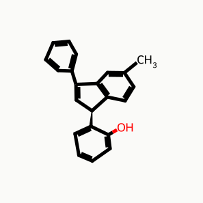 Cc1ccc2c(c1)C(c1ccccc1)=C[C@@H]2c1ccccc1O